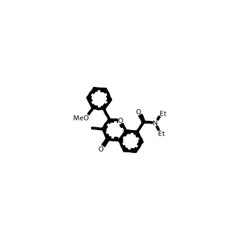 CCN(CC)C(=O)c1cccc2c(=O)c(C)c(-c3ccccc3OC)oc12